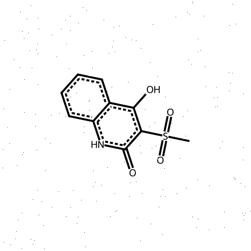 CS(=O)(=O)c1c(O)c2ccccc2[nH]c1=O